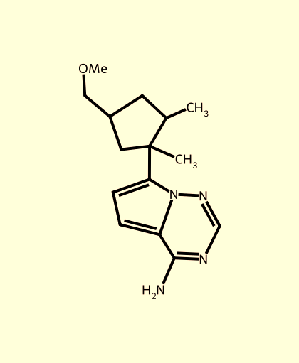 COCC1CC(C)C(C)(c2ccc3c(N)ncnn23)C1